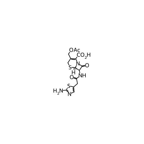 CC(=O)OCC1=C(C(=O)O)N2C(=O)C(NC(=O)Cc3cnc(N)s3)[C@H]2SC1